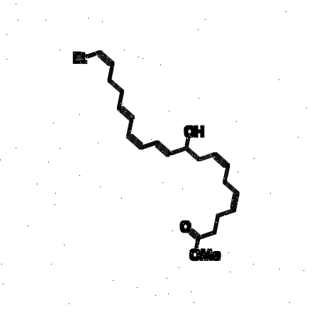 CC/C=C\CC/C=C/C=C\C=C\C(O)C/C=C\C/C=C\CCC(=O)OC